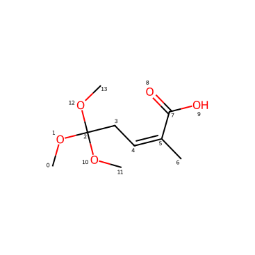 COC(CC=C(C)C(=O)O)(OC)OC